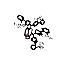 CN(C)c1ccccc1-c1ccc(C(c2ccc(-c3ccccc3N(C)C)cc2)C(OC(c2ccccc2)C(c2ccc(-c3ccccc3N(C)C)cc2)c2ccc(-c3ccccc3N(C)C)cc2)c2ccccc2)cc1